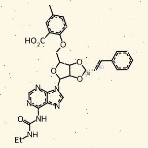 CCNC(=O)Nc1ncnc2c1ncn2C1OC(COc2ccc(C)cc2C(=O)O)C2O[C@H](/C=C/c3ccccc3)OC21